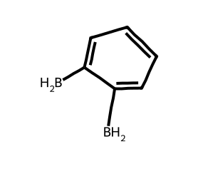 Bc1ccccc1B